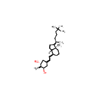 C=C1[C@H](O)CC(=C/C=C2\CCC[C@]3(C)/C(=C(\C)CCCC(C)(C)C)CC[C@@H]23)C[C@H]1O